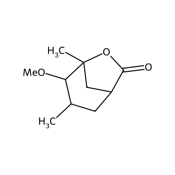 COC1C(C)CC2CC1(C)OC2=O